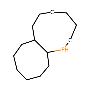 C1CCCC2CCCCCCC2PCC1